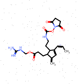 C=C1C=C(/C=C\C)C(CCNC(=O)ON2C(=O)CCC2=O)C1CCC(=O)OCNC(=N)N